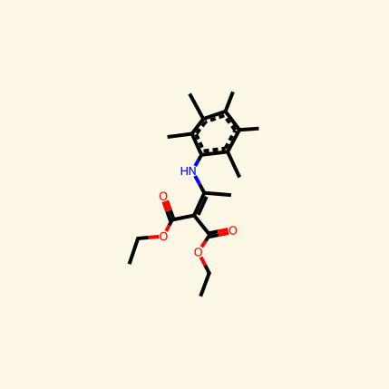 CCOC(=O)C(C(=O)OCC)=C(C)Nc1c(C)c(C)c(C)c(C)c1C